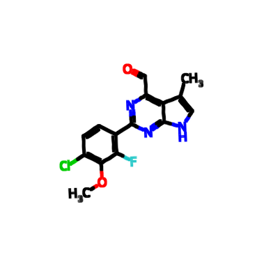 COc1c(Cl)ccc(-c2nc(C=O)c3c(C)c[nH]c3n2)c1F